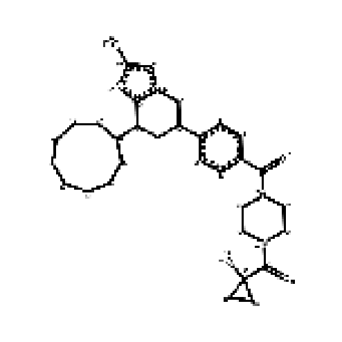 O=C(c1ccc(C2CC(C3CCCCCCCC3)c3nc(C(F)(F)F)cn3C2)cc1)N1CCN(C(=O)C2(O)CC2)CC1